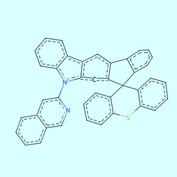 c1ccc2c(c1)Sc1ccccc1C21c2ccccc2-c2cc3c4ccccc4n(-c4cc5ccccc5cn4)c3cc21